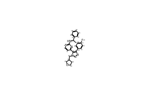 CC(Nc1nccc(-c2c(-c3ccc(F)cc3)nnn2CC2CCOC2)n1)c1ccccc1